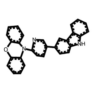 c1ccc2c(c1)Oc1ccccc1N2c1ccc(-c2ccc3[nH]c4ccccc4c3c2)cn1